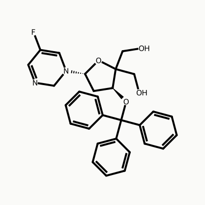 OCC1(CO)O[C@@H](N2C=C(F)C=NC2)C[C@@H]1OC(c1ccccc1)(c1ccccc1)c1ccccc1